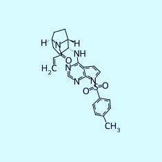 C=CC(=O)N1[C@@H]2CC[C@@H]1[C@H](Nc1ncnc3c1ccn3S(=O)(=O)c1ccc(C)cc1)CC2